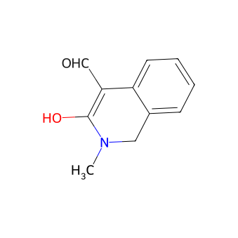 CN1Cc2ccccc2C(C=O)=C1O